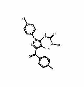 Cc1ccc(C(=O)c2nn(-c3ccc(Cl)cc3)c(NC(=O)OC(C)(C)C)c2C#N)cc1